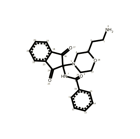 NCCC1CN(C2(NC(=O)c3ccccc3)C(=O)c3ccccc3C2=O)CCO1